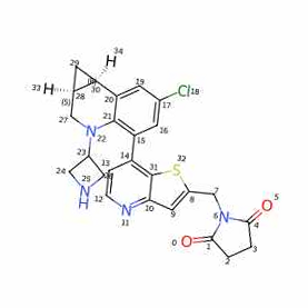 O=C1CCC(=O)N1Cc1cc2nccc(-c3cc(Cl)cc4c3N(C3CNC3)C[C@H]3C[C@@H]43)c2s1